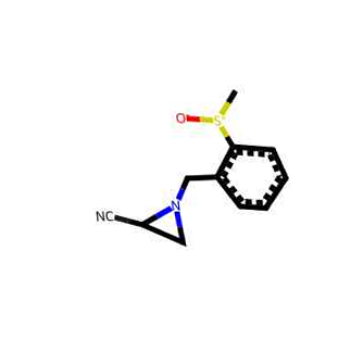 C[S+]([O-])c1ccccc1CN1CC1C#N